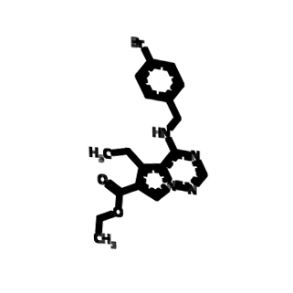 CCOC(=O)c1cn2ncnc(NCc3ccc(Br)cc3)c2c1CC